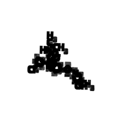 CC(C)NC(=O)Cn1c(-c2cccc(Cl)c2)nc2ccc([C@H]3C[C@@H](CN4CCC(C)(O)CC4)C3)cc2c1=O